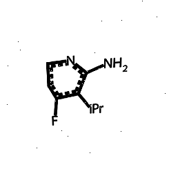 CC(C)c1c(F)ccnc1N